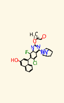 C[C@H](C=O)Oc1nc(N2CC3CCC(C2)N3)c2cc(Cl)c(-c3cc(O)cc4ccccc34)c(F)c2n1